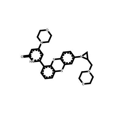 O=c1cc(N2CCOCC2)cc(-c2cccc3c2Sc2ccc(N4CC4CN4CCOCC4)cc2S3)[nH]1